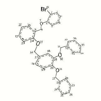 Brc1c[c]ccc1OCc1ccccc1OCc1ccc(OCc2ccccc2)c(OCc2ccccc2)c1